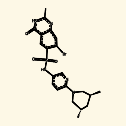 Cc1nc2cc(Br)c(S(=O)(=O)Nc3ccc(N4C[C@@H](C)C[C@H](C)C4)nc3)cc2c(=O)[nH]1